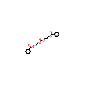 O=C(OCCCOC(=O)c1ccccc1)OCCCOC(=O)c1ccccc1